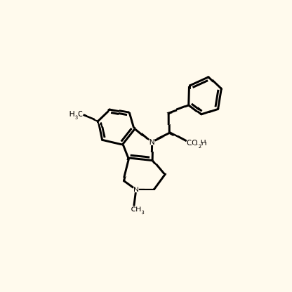 Cc1ccc2c(c1)c1c(n2C(Cc2ccccc2)C(=O)O)CCN(C)C1